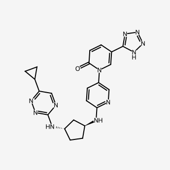 O=c1ccc(-c2nnn[nH]2)cn1-c1ccc(N[C@H]2CC[C@H](Nc3ncc(C4CC4)nn3)C2)nc1